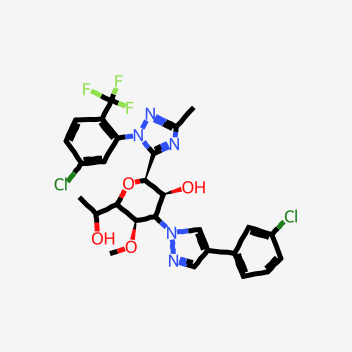 CO[C@H]1C(C(C)O)O[C@@H](c2nc(C)nn2-c2cc(Cl)ccc2C(F)(F)F)[C@@H](O)C1n1cc(-c2cccc(Cl)c2)cn1